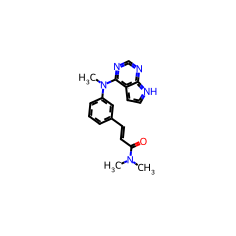 CN(C)C(=O)C=Cc1cccc(N(C)c2ncnc3[nH]ccc23)c1